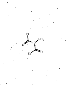 CC[C](=O)[Co]([CH3])[C](=O)CC